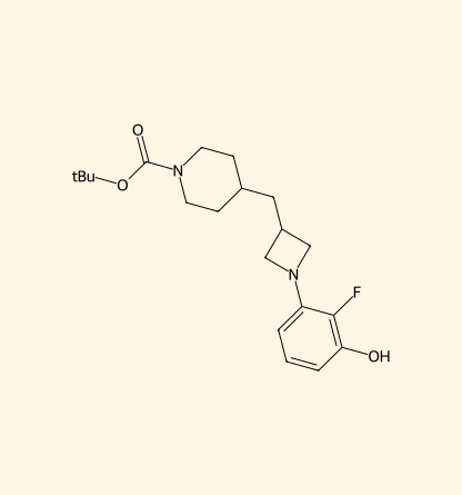 CC(C)(C)OC(=O)N1CCC(CC2CN(c3cccc(O)c3F)C2)CC1